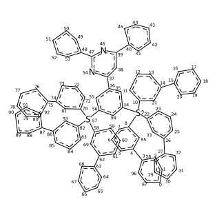 c1ccc(-c2cccc(S(c3cccc(-c4ccccc4)c3)(c3cccc(-c4ccccc4)c3)c3cc(-c4cc(-c5ccccc5)nc(-c5ccccc5)n4)cc(S(c4cccc(-c5ccccc5)c4)(c4cccc(-c5ccccc5)c4)c4cccc(-c5ccccc5)c4)c3)c2)cc1